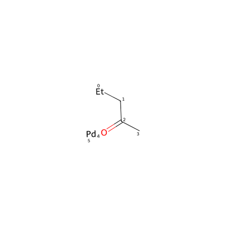 CCCC(C)=O.[Pd]